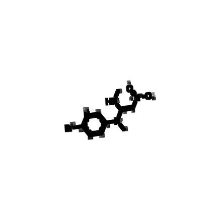 CNC(=C[N+](=O)[O-])N(C)c1ccc(Br)nc1